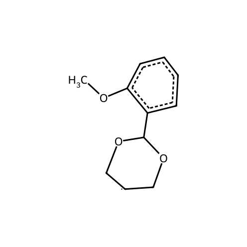 COc1ccccc1C1OC[CH]CO1